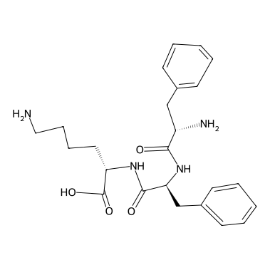 NCCCC[C@H](NC(=O)[C@H](Cc1ccccc1)NC(=O)[C@@H](N)Cc1ccccc1)C(=O)O